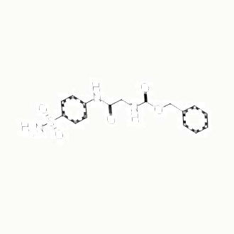 NS(=O)(=O)c1ccc(NC(=O)CNC(=O)OCc2ccccc2)cc1